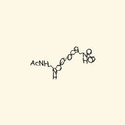 CC(=O)NCCc1c[nH]c2ccc(OCCOC3=CC4C(CCNC(=O)c5ccco5)=COC4C=C3)cc12